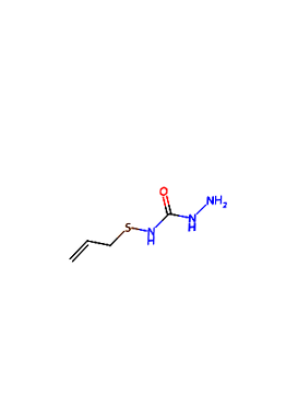 C=CCSNC(=O)NN